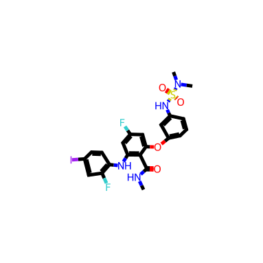 CNC(=O)c1c(Nc2ccc(I)cc2F)cc(F)cc1Oc1cccc(NS(=O)(=O)N(C)C)c1